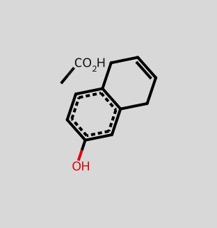 CC(=O)O.Oc1ccc2c(c1)CC=CC2